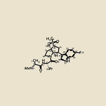 CN[C@@H](C)C(=O)N[C@H](C(=O)N1CC[C@@H]2[C@H]1[C@H](c1c[nH]c3cc(F)ccc13)CN2S(C)(=O)=O)C(C)C